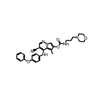 Cc1c(OC(=O)NCCCN2CCOCC2)cn2ncc(C#N)c(Nc3ccc(Oc4ccccc4)cc3)c12